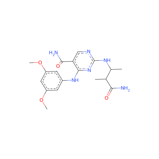 COc1cc(Nc2nc(NC(C)C(C)C(N)=O)ncc2C(N)=O)cc(OC)c1